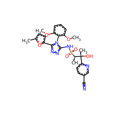 COc1cccc(OC)c1-n1c(NS(=O)(=O)[C@H](C)[C@](C)(O)c2ccc(C#N)cn2)nnc1-c1ccc(C)o1